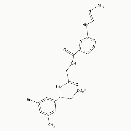 Cc1cc(Br)cc(C(CC(=O)O)NC(=O)CNC(=O)c2cccc(NC=NN)c2)c1